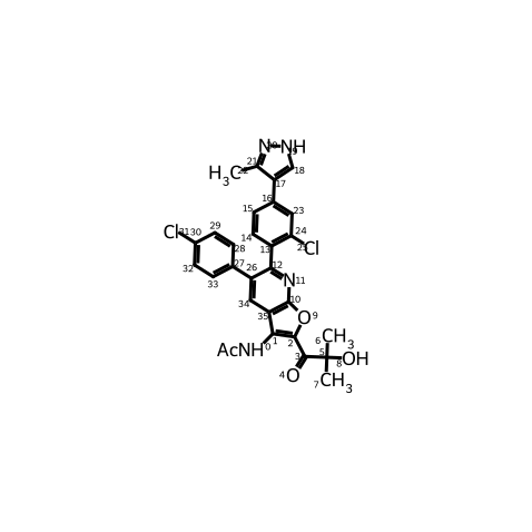 CC(=O)Nc1c(C(=O)C(C)(C)O)oc2nc(-c3ccc(-c4c[nH]nc4C)cc3Cl)c(-c3ccc(Cl)cc3)cc12